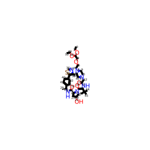 CCOC(COCCN1CCN(CC(=O)N[C@H](C(=O)N2C[C@H](O)C[C@H]2C(=O)N[C@@H](C)c2ccc(-c3scnc3C)cc2)C(C)(C)C)CC1)OCC